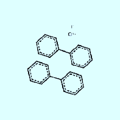 [Cr+].[I-].c1ccc(-c2ccccc2)cc1.c1ccc(-c2ccccc2)cc1